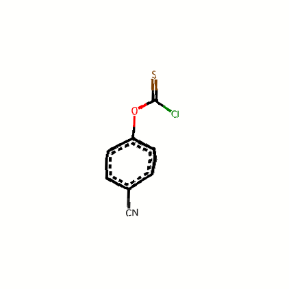 N#Cc1ccc(OC(=S)Cl)cc1